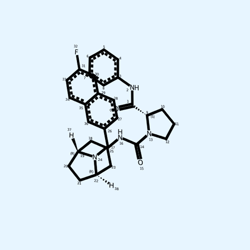 O=C(Nc1ccccc1)[C@@H]1CCCN1C(=O)NC1C[C@H]2CC[C@H](C1)N2Cc1ccc2cc(F)ccc2c1